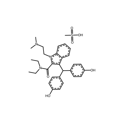 CCN(CC)C(=O)c1c(C(c2ccc(O)cc2)c2ccc(O)cc2)c2ccccc2n1CCN(C)C.CS(=O)(=O)O